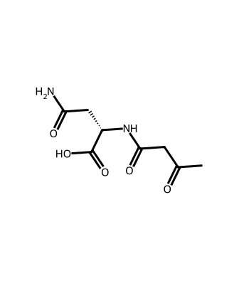 CC(=O)CC(=O)N[C@@H](CC(N)=O)C(=O)O